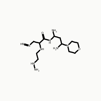 N=NCC(NCCNN)C(=O)NC(N)CC(N)N1CCOCC1